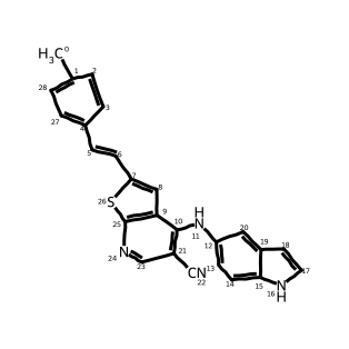 Cc1ccc(/C=C/c2cc3c(Nc4ccc5[nH]ccc5c4)c(C#N)cnc3s2)cc1